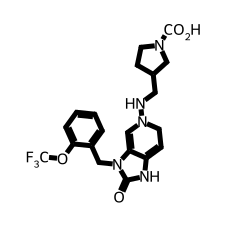 O=C(O)N1CCC(CNN2C=c3c([nH]c(=O)n3Cc3ccccc3OC(F)(F)F)=CC2)C1